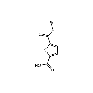 O=C(O)c1ccc(C(=O)CBr)s1